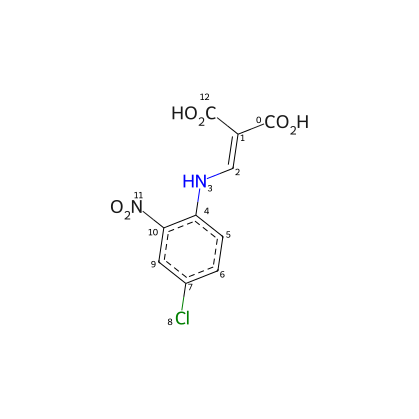 O=C(O)C(=CNc1ccc(Cl)cc1[N+](=O)[O-])C(=O)O